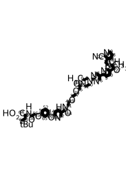 C[C@@H]1CN(c2ncc(-c3ccc4c(n3)N(Cc3cccnc3C#N)C(C)(C)C4=O)cn2)CCN1C(=O)COCCOCCNC(=O)c1ccc(Oc2cccc(OCC(=O)N[C@@H](CCC(C)(C)C)C(=O)O)c2)nc1